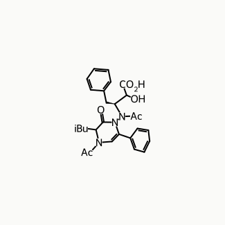 CCC(C)C1C(=O)N(N(C(C)=O)[C@@H](Cc2ccccc2)C(O)C(=O)O)C(c2ccccc2)=CN1C(C)=O